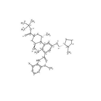 COc1cccc(F)c1NC(=O)c1nc(OC[C@@H]2CCCN2C)nc(N2[C@@H](C)CN(C(=O)OC(C)(C)C)C[C@@H]2C)c1N